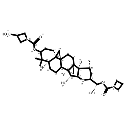 CC(C)[C@@H](OC(=O)N1CCC1)C1C[C@@H](C)[C@H]2C(O1)[C@H](O)[C@@]1(C)C3CC[C@H]4C(C)(C)C(OC(=O)N5CC(C(=O)O)C5)CC[C@@]45C[C@@]35CC[C@]21C